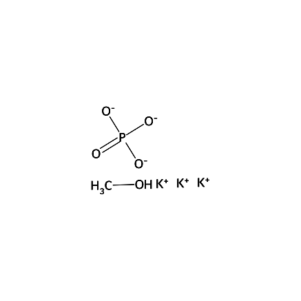 CO.O=P([O-])([O-])[O-].[K+].[K+].[K+]